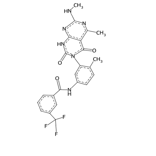 CNc1nc(C)c2c(=O)n(-c3cc(NC(=O)c4cccc(C(F)(F)F)c4)ccc3C)c(=O)[nH]c2n1